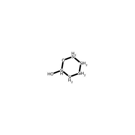 O[SiH]1O[SiH2][SiH2][SiH2][SiH2]1